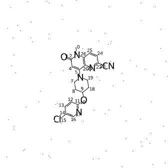 Cn1c(=O)cc(N2CCC(Oc3ccc(Cl)cn3)CC2)c2nc(C#N)ccc21